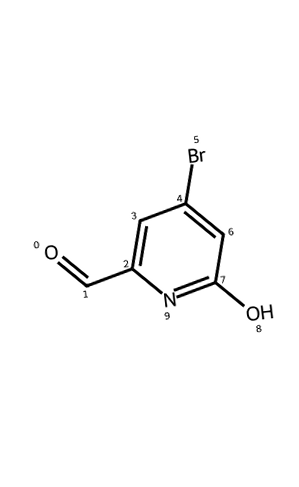 O=Cc1cc(Br)cc(O)n1